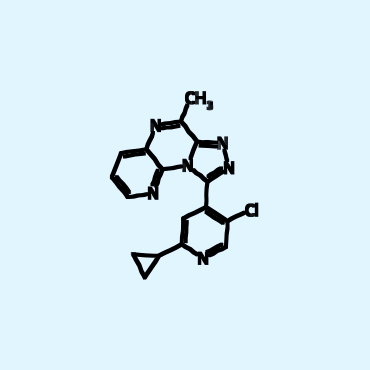 Cc1nc2cccnc2n2c(-c3cc(C4CC4)ncc3Cl)nnc12